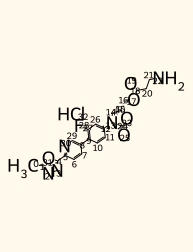 Cc1nnc(-c2ccc(-c3ccc(N4C[C@H](COC(=O)CCN)OC4=O)cc3F)cn2)o1.Cl